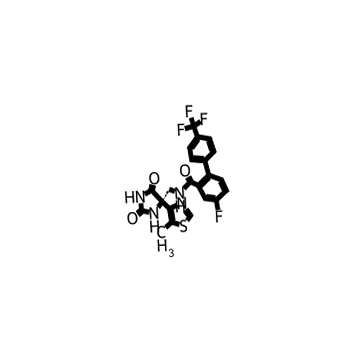 Cc1scnc1[C@@]1(CNC(=O)c2cc(F)ccc2-c2ccc(C(F)(F)F)cc2)NC(=O)NC1=O